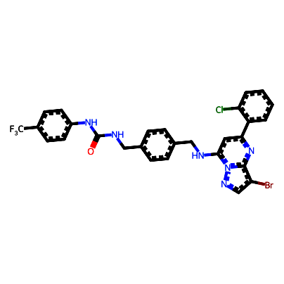 O=C(NCc1ccc(CNc2cc(-c3ccccc3Cl)nc3c(Br)cnn23)cc1)Nc1ccc(C(F)(F)F)cc1